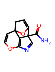 NC(=O)C12C=NC3=C1C1(C=CO3)CC=C2O1